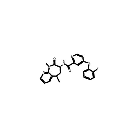 CC1C[C@H](NC(=O)c2cc(Oc3ccccc3F)ccn2)C(=O)N(C)c2ncccc21